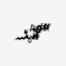 C/C=C/C=C/C1[C@@H](C(=O)NCc2nc(-c3cc4c(N[C@@H]5CCN(C)C[C@@H]5F)cccc4n3CC(F)(F)F)no2)[C@H]1C#N